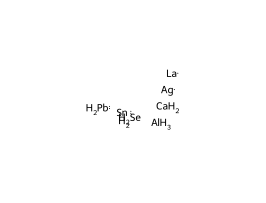 [Ag].[AlH3].[CaH2].[La].[PbH2].[SeH2].[SnH2]